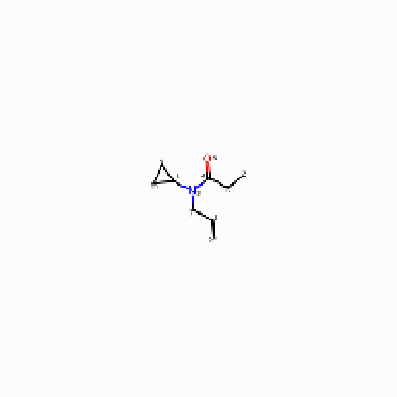 CCCN(C(=O)CC)C1CC1